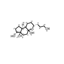 C[C@]12CCC3(O)O[C@@H](CCCC#N)CCC3[C@@H]1CC[C@H]2O